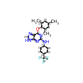 Cc1cc(C)c(Oc2nc(Nc3ccc(C(F)(F)F)cc3)nc3[nH]cnc23)c(C)c1